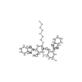 CCCCCCCCc1cc(Cc2cc(C)cc(-n3nc4ccccc4n3)c2O)c(O)c(-n2nc3ccccc3n2)c1